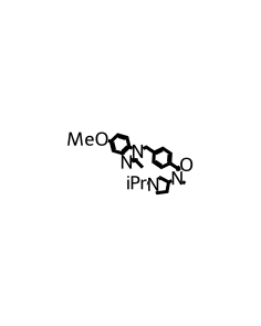 COc1ccc2c(c1)nc(C)n2Cc1ccc(C(=O)N(C)C2CCN(C(C)C)C2)cc1